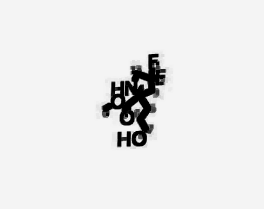 COC(=O)C1(CCCO)CC(F)(F)CN1